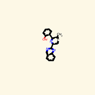 Cc1ccc(-c2ncc3ccccc3n2)nc1-c1ccccc1O